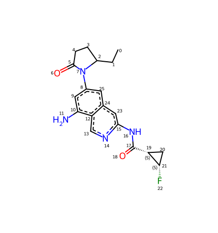 CCC1CCC(=O)N1c1cc(N)c2cnc(NC(=O)[C@@H]3C[C@@H]3F)cc2c1